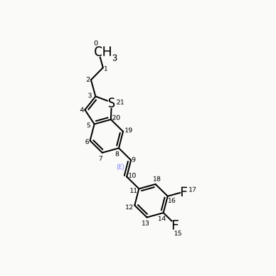 CCCc1cc2ccc(/C=C/c3ccc(F)c(F)c3)cc2s1